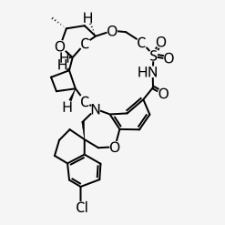 C[C@@H]1C[C@@H]2C[C@H](O1)[C@@H]1CC[C@H]1CN1C[C@@]3(CCCc4cc(Cl)ccc43)COc3ccc(cc31)C(=O)NS(=O)(=O)CCO2